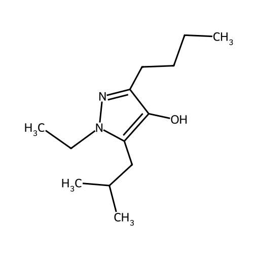 CCCCc1nn(CC)c(CC(C)C)c1O